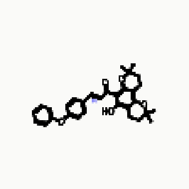 CC1(C)CCc2c(O)c(C(=O)/C=C/c3ccc(Oc4ccccc4)cc3)c3c(c2O1)CCC(C)(C)O3